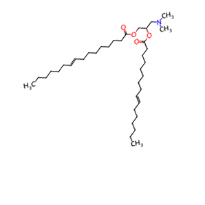 CCCCCCC=CCCCCCCCC(=O)OCC(CN(C)C)OC(=O)CCCCCCCC=CCCCCCC